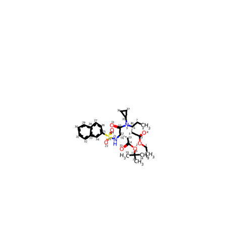 CCOC(=O)C[C@@H](CC)N(C(=O)[C@H](CC(=O)OC(C)(C)C)NS(=O)(=O)c1ccc2ccccc2c1)C1CC1